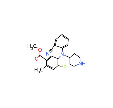 COC(=O)c1cc(N(c2ccccc2C#N)C2CCNCC2)c(F)cc1C